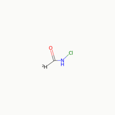 [2H]C(=O)NCl